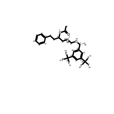 CC(=O)OC(CCc1ccccc1)CNCO[C@H](C)c1cc(C(F)(F)F)cc(C(F)(F)F)c1